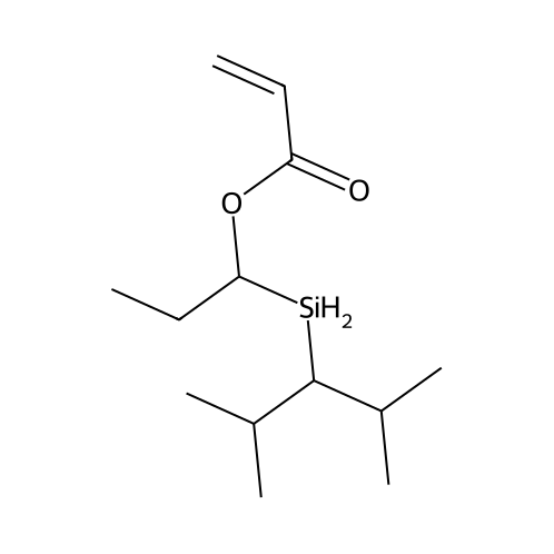 C=CC(=O)OC(CC)[SiH2]C(C(C)C)C(C)C